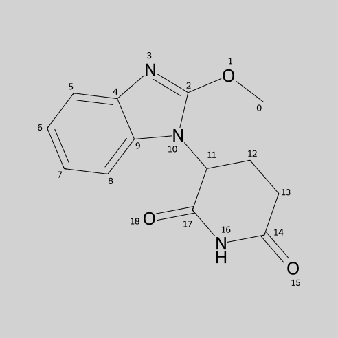 COc1nc2ccccc2n1C1CCC(=O)NC1=O